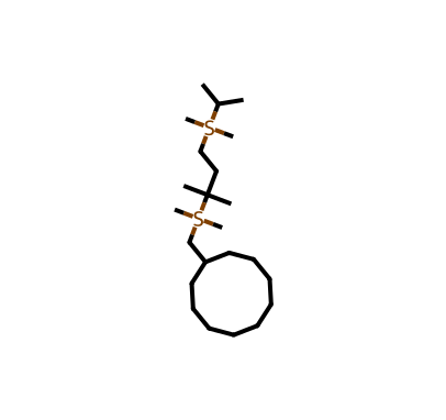 CC(C)S(C)(C)CCC(C)(C)S(C)(C)CC1CCCCCCCCC1